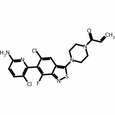 C=CC(=O)N1CCN(c2snc3c(F)c(-c4nc(N)ccc4Cl)c(Cl)cc23)CC1